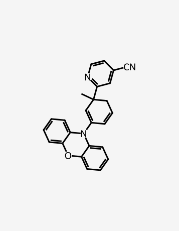 CC1(c2cc(C#N)ccn2)C=C(N2c3ccccc3Oc3ccccc32)C=CC1